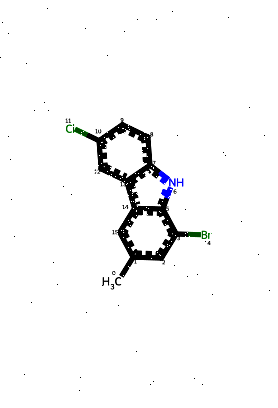 Cc1cc(Br)c2[nH]c3ccc(Cl)cc3c2c1